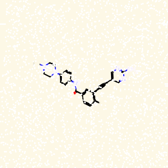 Cc1ccc(C(=O)Nc2ccc(N3CCN(C(C)C)CC3)cc2)cc1C#Cc1cnc(N)nc1